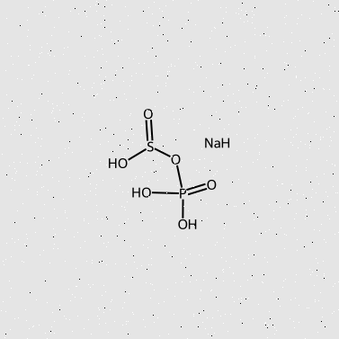 O=S(O)OP(=O)(O)O.[NaH]